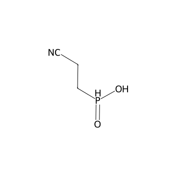 N#CCC[PH](=O)O